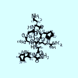 CCCC[C@H](NC(C)=O)C(=O)NCC(=O)N[C@@H](CCN)C(=O)N[C@H](Cc1ccccc1)C(=O)N[C@@H](CCCNC(=N)N)C(=O)N[C@@H](C)C(=O)N[C@@H](Cc1c[nH]c2ccccc12)C(N)=O